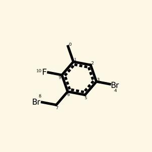 Cc1cc(Br)cc(CBr)c1F